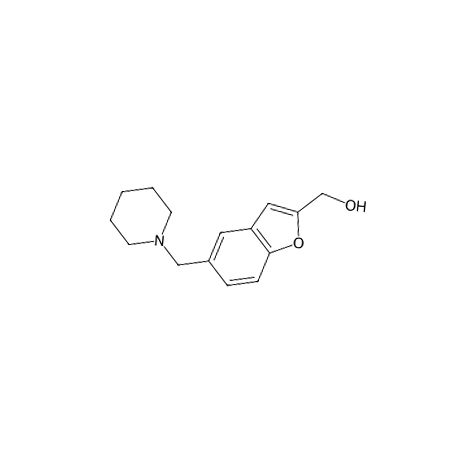 OCc1cc2cc(CN3CCCCC3)ccc2o1